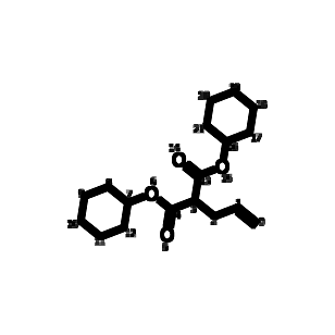 C=CCC(C(=O)OC1CCCCC1)C(=O)OC1CCCCC1